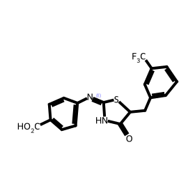 O=C(O)c1ccc(/N=C2\NC(=O)C(Cc3cccc(C(F)(F)F)c3)S2)cc1